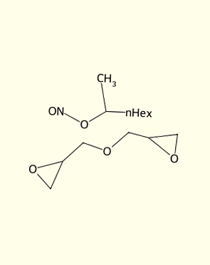 C(OCC1CO1)C1CO1.CCCCCCC(C)ON=O